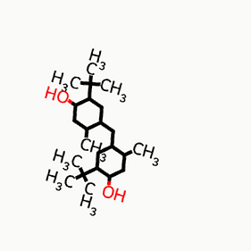 CC1CC(O)C(C(C)(C)C)CC1CC1CC(C(C)(C)C)C(O)CC1C